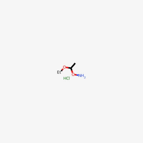 CCOC(C)ON.Cl